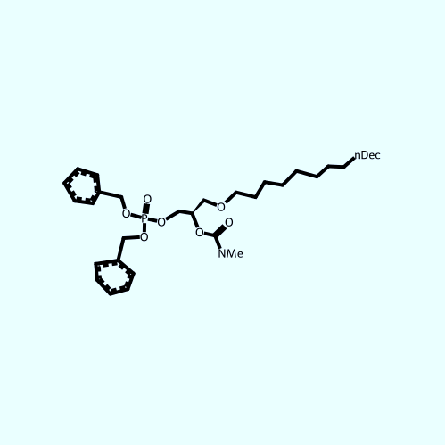 CCCCCCCCCCCCCCCCCCOC[C@H](COP(=O)(OCc1ccccc1)OCc1ccccc1)OC(=O)NC